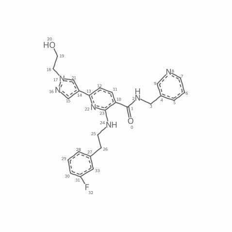 O=C(NCc1cccnc1)c1ccc(-c2cnn(CCO)c2)nc1NCCc1cccc(F)c1